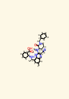 Cc1cc([C@@H](C)Nc2ccccc2C(=O)O)c2nc(N(C)C3CCCN(Cc4ccccc4)C3=O)c(C#N)nc2c1